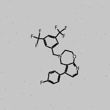 Fc1ccc(-c2ccnc3c2CN(Cc2cc(C(F)(F)F)cc(C(F)(F)F)c2)CCO3)cc1